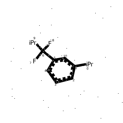 CC(C)c1cccc(C(F)(F)C(C)C)c1